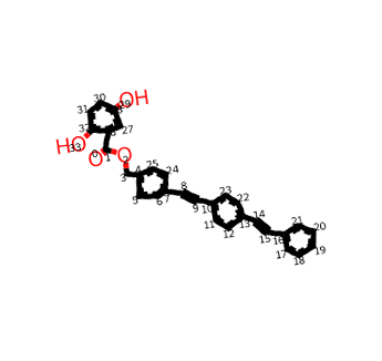 O=C(OCc1ccc(C#Cc2ccc(C#Cc3ccccc3)cc2)cc1)c1cc(O)ccc1O